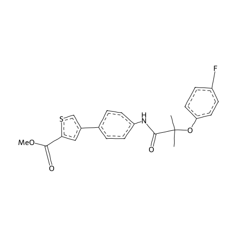 COC(=O)c1cc(-c2ccc(NC(=O)C(C)(C)Oc3ccc(F)cc3)cc2)cs1